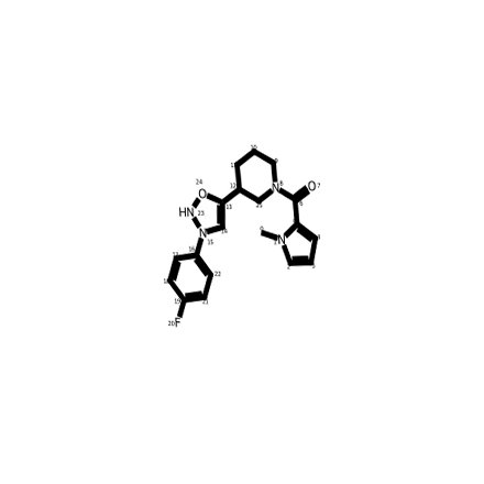 Cn1cccc1C(=O)N1CCCC(C2=CN(c3ccc(F)cc3)NO2)C1